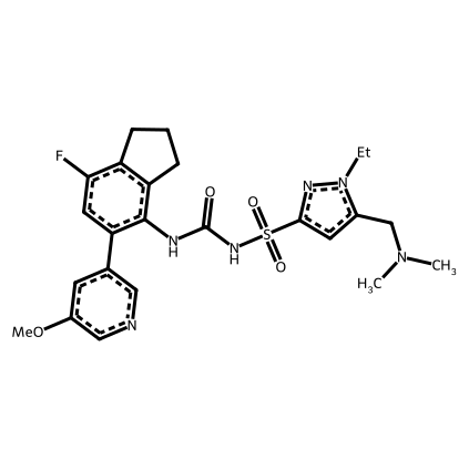 CCn1nc(S(=O)(=O)NC(=O)Nc2c(-c3cncc(OC)c3)cc(F)c3c2CCC3)cc1CN(C)C